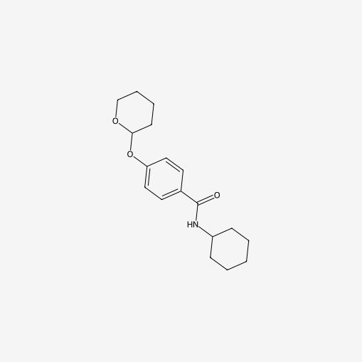 O=C(NC1CCCCC1)c1ccc(OC2CCCCO2)cc1